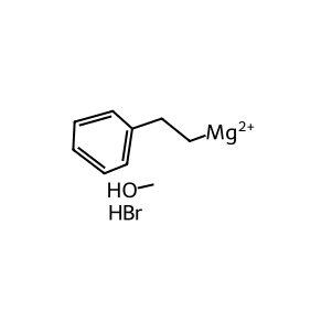 Br.CO.[Mg+2][CH2]Cc1ccccc1